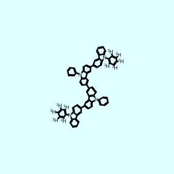 [2H]c1c([2H])c([2H])c(-n2c3ccccc3c3cc(-c4ccc5c(c4)c4cc(-c6ccc7c(c6)c6cc(-c8ccc9c(c8)c8ccccc8n9-c8c([2H])c([2H])c([2H])c([2H])c8[2H])ccc6n7-c6ccccc6)ccc4n5-c4ccccc4)ccc32)c([2H])c1[2H]